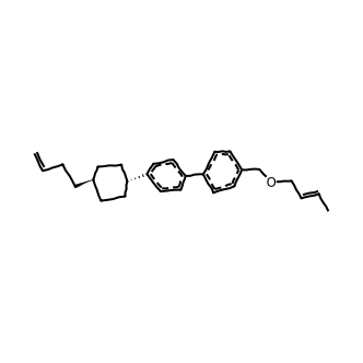 C=CCC[C@H]1CC[C@H](c2ccc(-c3ccc(COCC=CC)cc3)cc2)CC1